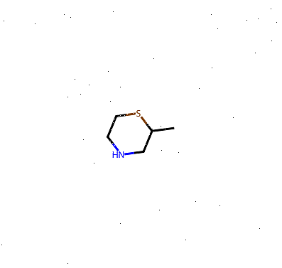 C[C]1CNCCS1